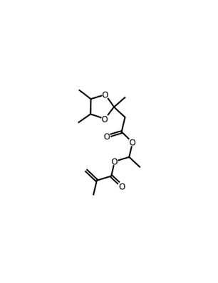 C=C(C)C(=O)OC(C)OC(=O)CC1(C)OC(C)C(C)O1